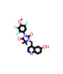 COc1c(F)cc(N2C(=O)N(Cc3ccnc4ccc(O)cc34)C(C)(C)C2=O)c(F)c1F